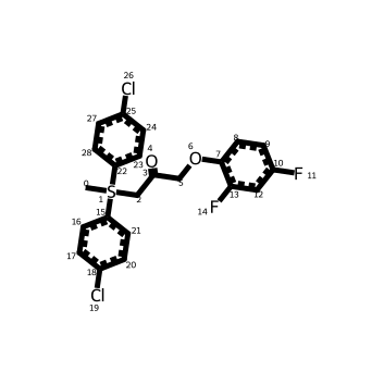 CS(CC(=O)COc1ccc(F)cc1F)(c1ccc(Cl)cc1)c1ccc(Cl)cc1